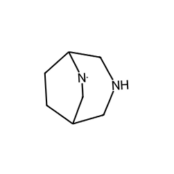 C1CC2CNCC1C[N]2